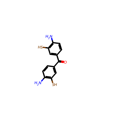 Nc1ccc(C(=O)c2ccc(N)c(S)c2)cc1S